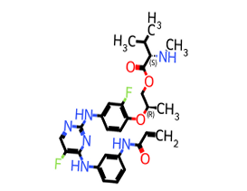 C=CC(=O)Nc1cccc(Nc2nc(Nc3ccc(O[C@H](C)COC(=O)[C@@H](NC)C(C)C)c(F)c3)ncc2F)c1